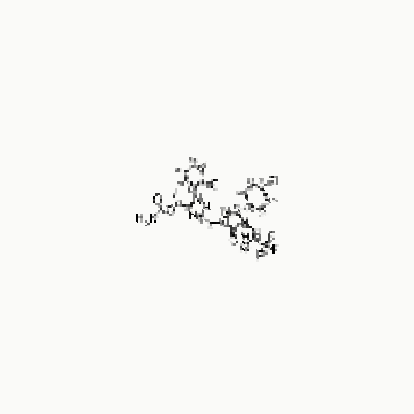 CC(OC(N)=O)c1nc(Cn2nc(-c3ccc(Cl)cc3)n(CC(O)C(F)(F)F)c2=O)nn1-c1ccccc1Cl